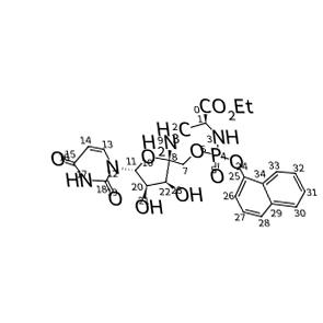 CCOC(=O)[C@H](C)NP(=O)(OC[C@@]1(N)O[C@@H](n2ccc(=O)[nH]c2=O)[C@H](O)[C@@H]1O)Oc1cccc2ccccc12